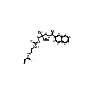 C=CC(=O)OCCNC(=O)OCC(CC)(CCCC)COC(=O)c1ccc2ccccc2c1